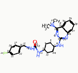 CN(C)c1nc(NC2CCC(NC(=O)NCc3ccc(F)cc3)CC2)nc2ccccc12